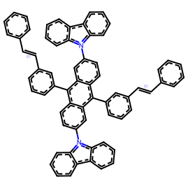 C(=C\c1cccc(-c2c3ccc(-n4c5ccccc5c5ccccc54)cc3c(-c3cccc(/C=C/c4ccccc4)c3)c3ccc(-n4c5ccccc5c5ccccc54)cc23)c1)/c1ccccc1